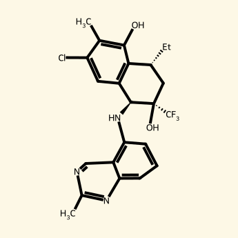 CC[C@@H]1C[C@](O)(C(F)(F)F)[C@@H](Nc2cccc3nc(C)ncc23)c2cc(Cl)c(C)c(O)c21